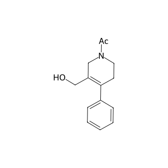 CC(=O)N1CCC(c2ccccc2)=C(CO)C1